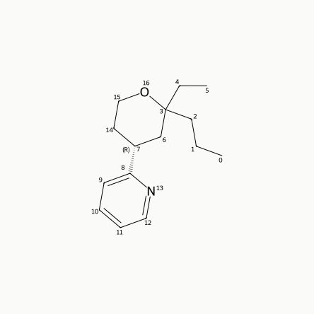 CCCC1(CC)C[C@H](c2ccccn2)CCO1